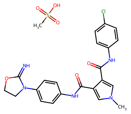 CS(=O)(=O)O.Cn1cc(C(=O)Nc2ccc(Cl)cc2)c(C(=O)Nc2ccc(N3CCOC3=N)cc2)c1